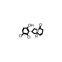 O=C1CC=C[C@@H]2C[C@H](c3c(O)ccc(Cl)c3Cl)CN12